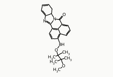 COC(C)(C)C(C)(C)OBc1ccc2c3n(c(=O)c4cccc1c42)C1CC=CC=C1N=3